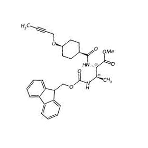 CC#CCO[C@H]1CC[C@@H](C(=O)N[C@H](C(=O)OC)[C@@H](C)NC(=O)OCC2c3ccccc3-c3ccccc32)CC1